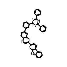 c1ccc(-c2nc(-c3ccccc3)nc(-c3cccc(-c4ccc5ncc(-c6ccc7c(n6)oc6ccccc67)nc5c4)c3)n2)cc1